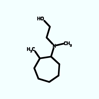 CC1CCCCCC1N(C)CCO